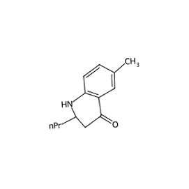 CCCC1CC(=O)c2cc(C)ccc2N1